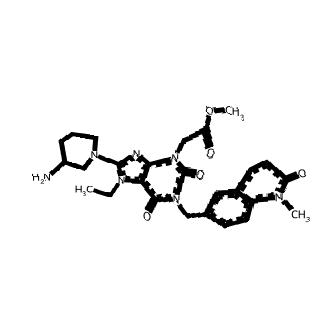 CCn1c(N2CCCC(N)C2)nc2c1c(=O)n(Cc1ccc3c(ccc(=O)n3C)c1)c(=O)n2CC(=O)OC